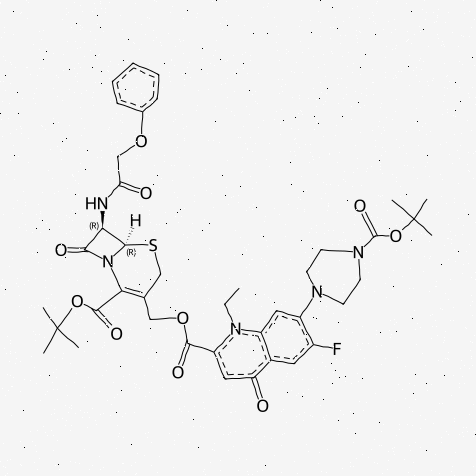 CCn1c(C(=O)OCC2=C(C(=O)OC(C)(C)C)N3C(=O)[C@@H](NC(=O)COc4ccccc4)[C@H]3SC2)cc(=O)c2cc(F)c(N3CCN(C(=O)OC(C)(C)C)CC3)cc21